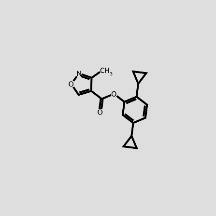 Cc1nocc1C(=O)Oc1cc(C2CC2)ccc1C1CC1